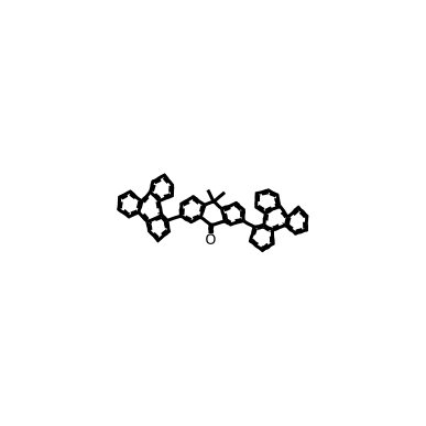 CC1(C)c2ccc(-c3cccc4c5ccccc5c5ccccc5c34)cc2C(=O)c2cc(-c3cccc4c5ccccc5c5ccccc5c34)ccc21